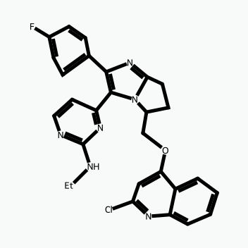 CCNc1nccc(-c2c(-c3ccc(F)cc3)nc3n2C(COc2cc(Cl)nc4ccccc24)CC3)n1